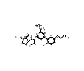 CCOc1ccc(F)c(-c2cc(C)nc([C@@H]3CC[C@@]4(CCN(C)C4=O)N3)c2)c1.Cl